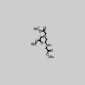 CC(C)(C)OC(=O)CNCCN(CC(=O)OC(C)(C)C)CC(=O)OC(C)(C)C